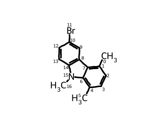 Cc1ccc(C)c2c1c1cc(Br)ccc1n2C